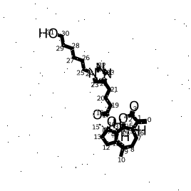 C=C1C(=O)O[C@H]2[C@H]1CCC(C)=C1CC[C@@](C)(OC(=O)CCCc3cn(CCCCCCO)nn3)[C@@H]12